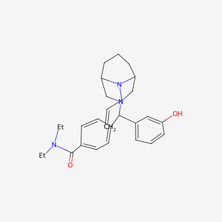 C=CCN1C2CCCC1CN(C(c1ccc(C(=O)N(CC)CC)cc1)c1cccc(O)c1)C2